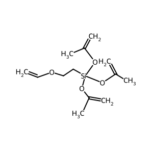 C=COCC[Si](OC(=C)C)(OC(=C)C)OC(=C)C